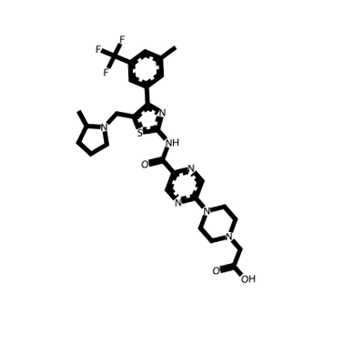 Cc1cc(-c2nc(NC(=O)c3cnc(N4CCN(CC(=O)O)CC4)cn3)sc2CN2CCCC2C)cc(C(F)(F)F)c1